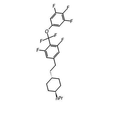 CCC[C@H]1CC[C@H](CCc2cc(F)c(C(F)(F)Oc3cc(F)c(F)c(F)c3)c(F)c2)CC1